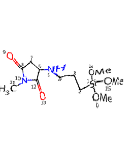 CO[Si](CCCNC1CC(=O)N(C)C1=O)(OC)OC